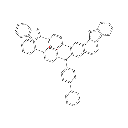 c1ccc(-c2ccc(N(c3ccc(-c4ccccc4)cc3)c3cc4ccc5c6ccccc6oc5c4cc3-c3ccc(-c4nc5ccccc5o4)cc3)cc2)cc1